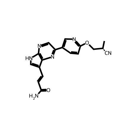 C[C@H](C#N)COc1ccc(-c2cnc3[nH]cc(C=CC(N)=O)c3n2)cn1